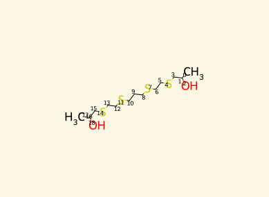 CC(O)CSCCSCCCSCCSCC(C)O